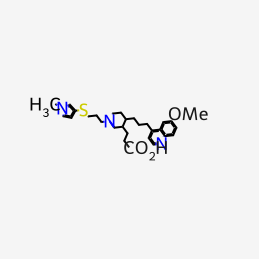 COc1ccc2nccc(CCCC3CCN(CCCSc4ccn(C)c4)CC3CCC(=O)O)c2c1